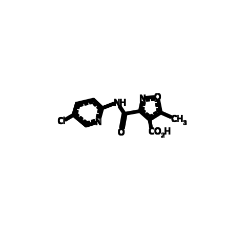 Cc1onc(C(=O)Nc2ccc(Cl)cn2)c1C(=O)O